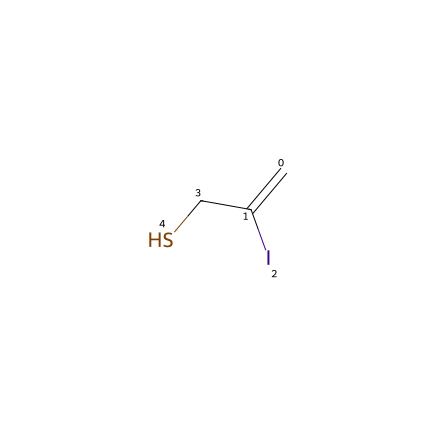 C=C(I)CS